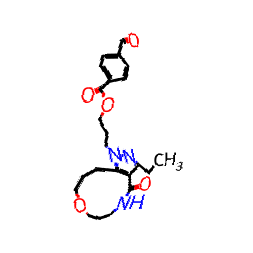 CCc1nn(CCCOC(=O)c2ccc(C=O)cc2)c2c1C(=O)NCCCOCCC2